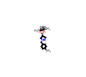 Cc1ccc(Cn2cc(B3OC(C)(C)C(C)(C)O3)cn2)cc1